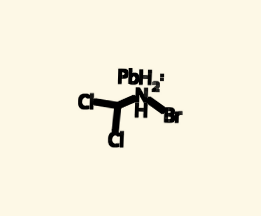 ClC(Cl)NBr.[PbH2]